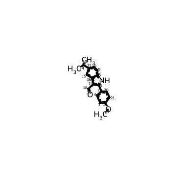 COc1ccc(-c2[nH]c3ccc(C(C)C)cc3c2C=O)cc1